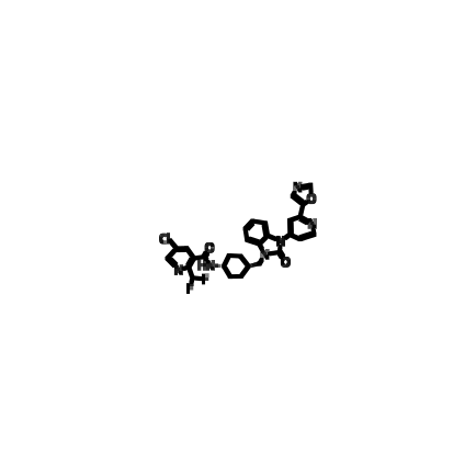 O=C(N[C@H]1CC[C@H](Cn2c(=O)n(-c3ccnc(-c4cnco4)c3)c3ccccc32)CC1)c1cc(Cl)cnc1C(F)F